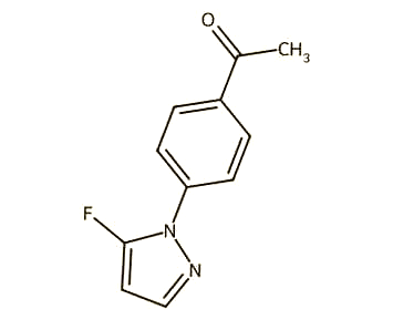 CC(=O)c1ccc(-n2nccc2F)cc1